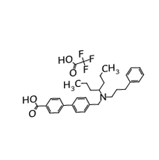 CCCC(CCC)N(CCCc1ccccc1)Cc1ccc(-c2ccc(C(=O)O)cc2)cc1.O=C(O)C(F)(F)F